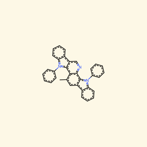 Cc1cc2c3ccccc3n(-c3ccccc3)c2c2ncc3c4ccccc4n(-c4ccccc4)c3c12